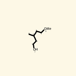 COCCC(C)CCO